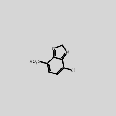 O=S(=O)(O)c1ccc(Cl)c2c1=NCN=2